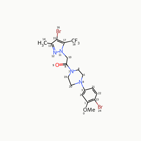 COc1cc(N2CCN(C(=O)Cn3nc(C)c(Br)c3C(F)(F)F)CC2)ccc1Br